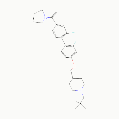 C=C(c1ccc(-c2ccc(OCC3CCN(CC(C)(C)C)CC3)cc2F)c(F)c1)N1CCCC1